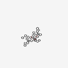 CC1(C)c2ccccc2-c2ccc(N(c3ccc(-c4ccc5c(ccc6ccccc65)c4)cc3)c3ccc4c(c3)C(C)(c3ccc(-c5cccc(-c6ccc(-c7ccccc7N(c7ccc8c(c7)C(C)(C)c7ccccc7-8)c7ccc8c(c7)C(C)(c7ccccc7)c7cccc(-c9ccccc9)c7-8)cc6)c5)cc3)c3cccc(-c5ccccc5)c3-4)cc21